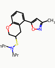 CCCN(CCC)SC1COc2cccc(-c3cc(C)no3)c2C1